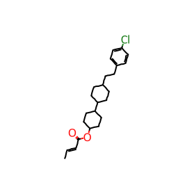 CC=CC(=O)OC1CCC(C2CCC(CCc3ccc(Cl)cc3)CC2)CC1